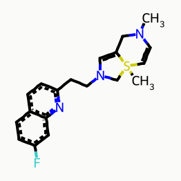 CN1C=CS2(C)CN(CCc3ccc4ccc(F)cc4n3)C=C2C1